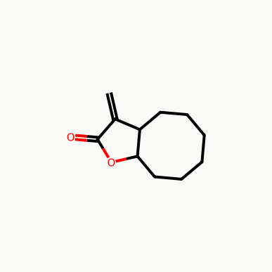 C=C1C(=O)OC2CCCCCCC12